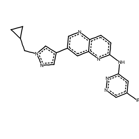 CC(C)c1cnnc(Nc2ccc3ncc(-c4cnn(CC5CC5)c4)cc3n2)c1